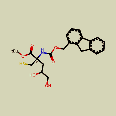 CC(C)(C)OC(=O)[C@@](CS)(CC(O)CO)NC(=O)OCc1cccc2c1Cc1ccccc1-2